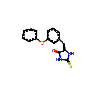 O=C1NC(=S)NC1=Cc1cccc(Oc2ccccc2)c1